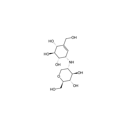 OCC1=C[C@H](N[C@H]2CO[C@H](CO)[C@@H](O)[C@@H]2O)[C@H](O)[C@@H](O)[C@@H]1O